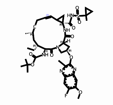 CC[C@@H]1C[C@H](C)CC/C=C\C2C[C@@]2(C(=O)NS(=O)(=O)C2(C)CC2)NC(=O)[C@@H]2C[C@@H](Oc3nc4cc(OC)c(F)cc4nc3C)CN2C(=O)[C@H]1NC(=O)OC(C)(C)C